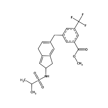 COC(=O)c1cc(CC2=CCC3=CC(NS(=O)(=O)C(C)C)CC3=C2)cc(C(F)(F)F)c1